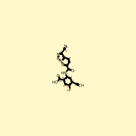 C#Cc1cc(NC(=O)c2ccc3c(C#N)nnn3n2)c(C(=O)O)cc1F